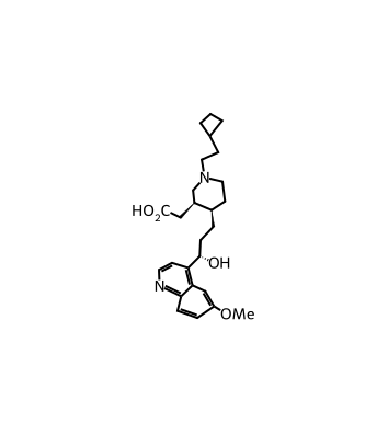 COc1ccc2nccc([C@@H](O)CC[C@@H]3CCN(CCC4CCC4)C[C@@H]3CC(=O)O)c2c1